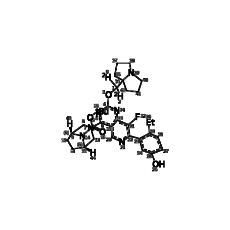 [2H]C([2H])(Oc1nc(N2C[C@H]3CC[C@@H](C2)N3C(=O)OC(C)(C)C)c2cnc(-c3cc(O)ccc3CC)c(F)c2n1)C12CCCN1CCC2